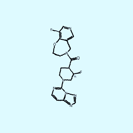 O=C(C1CCN(c2nccc3ncnn23)C[C@@H]1F)N1CCOc2c(F)cncc2C1